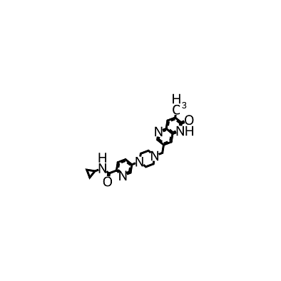 Cc1cc2ncc(CN3CCN(c4ccc(C(=O)NC5CC5)nc4)CC3)cc2[nH]c1=O